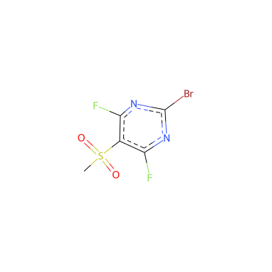 CS(=O)(=O)c1c(F)nc(Br)nc1F